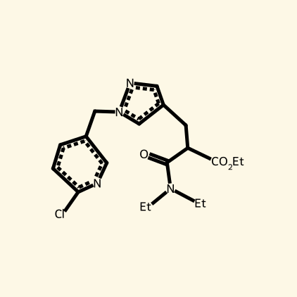 CCOC(=O)C(Cc1cnn(Cc2ccc(Cl)nc2)c1)C(=O)N(CC)CC